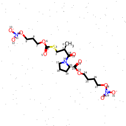 C[C@H](CSC(=O)OCCCO[N+](=O)[O-])C(=O)N1CCC[C@H]1C(=O)OCCCCO[N+](=O)[O-]